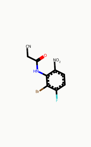 N#CCC(=O)Nc1c([N+](=O)[O-])ccc(F)c1Br